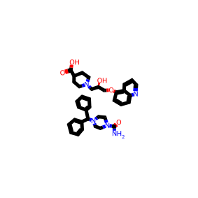 NC(=O)N1CCN(C(c2ccccc2)c2ccccc2)CC1.O=C(O)C1CCN(C[C@@H](O)COc2cccc3ncccc23)CC1